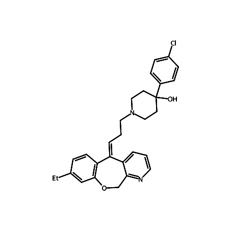 CCc1ccc2c(c1)OCc1ncccc1/C2=C\CCN1CCC(O)(c2ccc(Cl)cc2)CC1